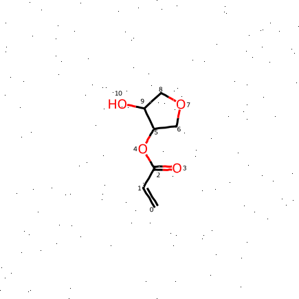 C=CC(=O)OC1COCC1O